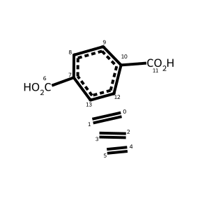 C=C.C=C.C=C.O=C(O)c1ccc(C(=O)O)cc1